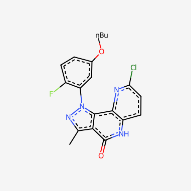 CCCCOc1ccc(F)c(-n2nc(C)c3c(=O)[nH]c4ccc(Cl)nc4c32)c1